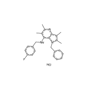 Cc1nc2c(C)c(C)n(Cc3ccccc3)c2c(NCc2ccc(F)cc2)c1C.Cl